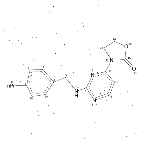 CCCc1ccc(CNc2nccc(N3CCOC3=O)n2)cc1